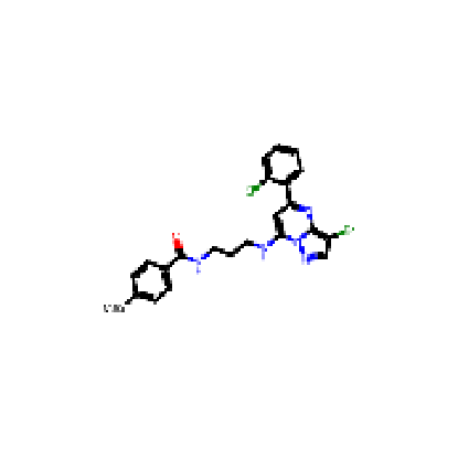 CSc1ccc(C(=O)NCCCNc2cc(-c3ccccc3Cl)nc3c(Br)cnn23)cc1